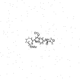 CCOc1cc(/C2=C/CCC/C=C(\OC)S2)nc2ccc(NC(=O)C3COC3)cc12